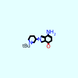 CC(C)(C)N1CCCC(N2C=C3C(N)=CCC(=O)C3C2)C1